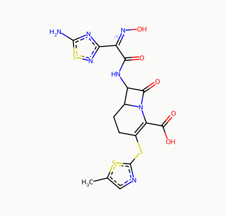 Cc1cnc(SC2=C(C(=O)O)N3C(=O)C(NC(=O)/C(=N\O)c4nsc(N)n4)C3CC2)s1